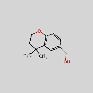 CC1(C)CCOc2ccc(SO)cc21